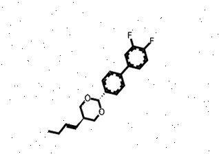 CC/C=C/[C@H]1CO[C@H](c2ccc(-c3ccc(F)c(F)c3)cc2)OC1